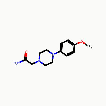 NC(=O)CN1CCN(c2ccc(OC(F)(F)F)cc2)CC1